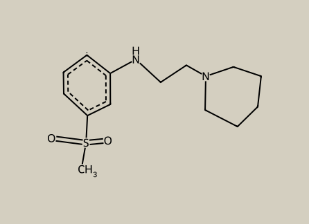 CS(=O)(=O)c1cc[c]c(NCCN2CCCCC2)c1